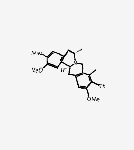 CCc1c(OC)cc2c(c1C)CN1[C@@H](C)Cc3cc(OC)c(OC)cc3[C@@H]1C2